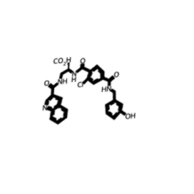 O=C(NCc1cccc(O)c1)c1ccc(C(=O)N[C@@H](CNC(=O)c2cnc3ccccc3c2)C(=O)O)c(Cl)c1